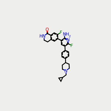 Nc1nc(F)c(-c2ccc(C3CCN(CC4CC4)CC3)cc2)cc1-c1cc2c(cc1F)C(=O)NCC2